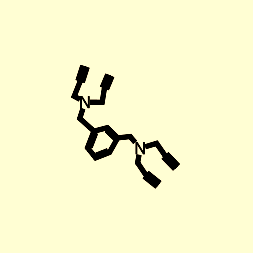 C#CCN(CC#C)Cc1cccc(CN(CC#C)CC#C)c1